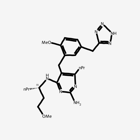 CCCc1nc(N)nc(N[C@@H](CCC)CCOC)c1Cc1cc(Cc2nn[nH]n2)ccc1OC